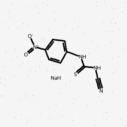 N#CNC(=S)Nc1ccc([N+](=O)[O-])cc1.[NaH]